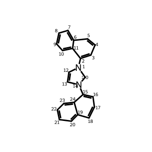 [C]1N(c2cccc3ccccc23)C=CN1c1cccc2ccccc12